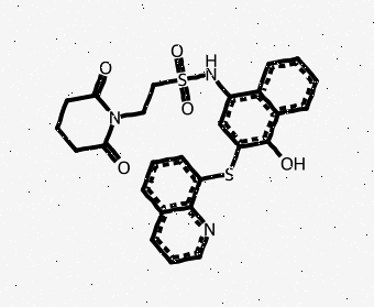 O=C1CCCC(=O)N1CCS(=O)(=O)Nc1cc(Sc2cccc3cccnc23)c(O)c2ccccc12